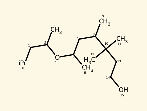 CC(C)CC(C)OC(C)CC(C)C(C)(C)CCO